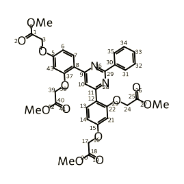 COC(=O)COc1ccc(-c2cc(-c3ccc(OCC(=O)OC)cc3OCC(=O)OC)nc(-c3ccccc3)n2)c(OCC(=O)OC)c1